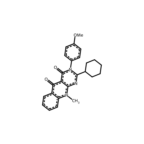 COc1ccc(-n2c(C3CCCCC3)nc3c(c(=O)c4ccccc4n3C)c2=O)cc1